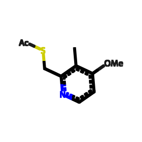 COc1ccnc(CSC(C)=O)c1C